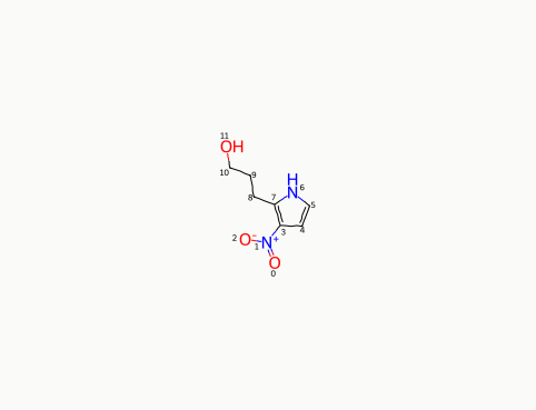 O=[N+]([O-])c1cc[nH]c1CCCO